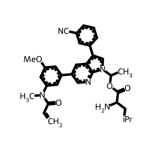 C=CC(=O)N(C)c1cc(OC)cc(-c2cnc3c(c2)c(-c2cccc(C#N)c2)cn3C(C)OC(=O)C(N)CC(C)C)c1